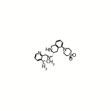 Cc1cccnc1CN(C)C[C@H]1Cc2c(cccc2N2CCS(=O)(=O)CC2)CN1